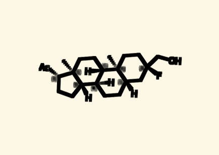 CC(=O)[C@H]1CC[C@H]2[C@@H]3CC[C@H]4C[C@@](F)(CO)CC[C@]4(C)[C@H]3CC[C@]12C